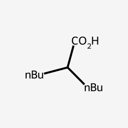 CCCCC(CCCC)C(=O)O